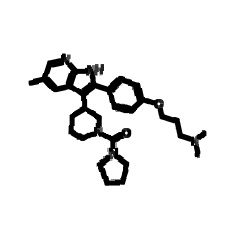 Cc1cnc2[nH]c(-c3ccc(OCCCN(C)C)cc3)c(C3CCCN(C(=O)N4CCCC4)C3)c2c1